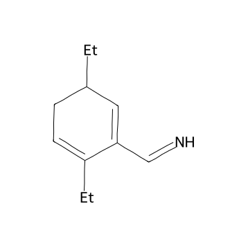 CCC1=CCC(CC)C=C1C=N